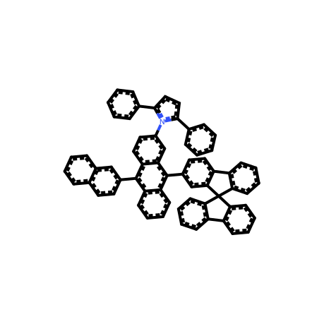 c1ccc(-c2ccc(-c3ccccc3)n2-c2ccc3c(-c4ccc5ccccc5c4)c4ccccc4c(-c4ccc5c(c4)C4(c6ccccc6-c6ccccc64)c4ccccc4-5)c3c2)cc1